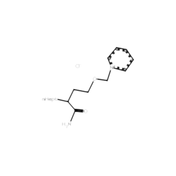 CCCCCCCC(CCOC[n+]1ccccc1)C(N)=O.[Cl-]